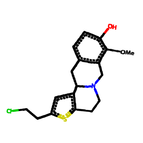 COc1c(O)ccc2c1CN1CCc3sc(CCCl)cc3C1C2